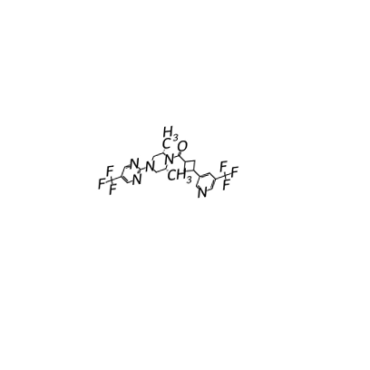 C[C@@H]1CN(c2ncc(C(F)(F)F)cn2)C[C@H](C)N1C(=O)C1CC(c2cncc(C(F)(F)F)c2)C1